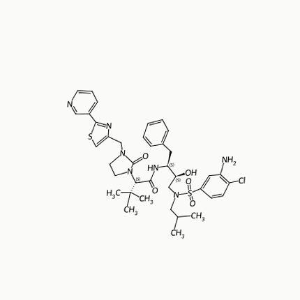 CC(C)CN(C[C@H](O)[C@H](Cc1ccccc1)NC(=O)[C@@H](N1CCN(Cc2csc(-c3cccnc3)n2)C1=O)C(C)(C)C)S(=O)(=O)c1ccc(Cl)c(N)c1